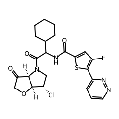 O=C(NC(C(=O)N1C[C@H](Cl)[C@H]2OCC(=O)[C@H]21)C1CCCCC1)c1cc(F)c(-c2cccnn2)s1